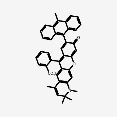 CC1=CC(C)(C)N(C)c2cc3oc4cc(=O)c(-c5c6ccccc6c(C)c6ccccc56)cc-4c(-c4ccccc4C(=O)O)c3cc21